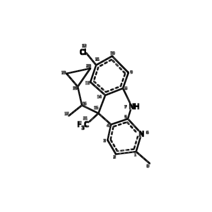 Cc1ccc2c(n1)Nc1ccc(Cl)cc1C2(C(C)C1CC1)C(F)(F)F